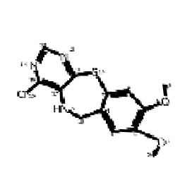 COc1cc2c(cc1OC)Sc1ncnc(Cl)c1NC2